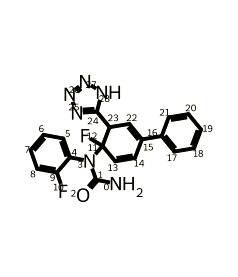 NC(=O)N(c1ccccc1F)C1(F)C=CC(c2ccccc2)=CC1c1nnn[nH]1